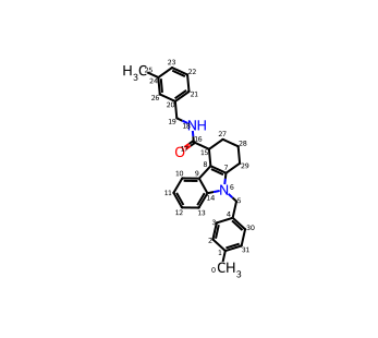 Cc1ccc(Cn2c3c(c4ccccc42)C(C(=O)NCc2cccc(C)c2)CCC3)cc1